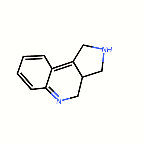 c1ccc2c(c1)=NCC1CNCC=21